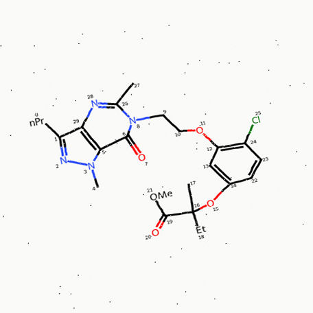 CCCc1nn(C)c2c(=O)n(CCOc3cc(OC(C)(CC)C(=O)OC)ccc3Cl)c(C)nc12